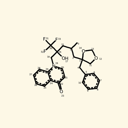 CC(CC1(Cc2ccccc2)COCO1)CC(O)(Cn1ccc(=O)c2ccccc21)C(F)(F)F